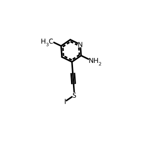 Cc1cnc(N)c(C#CSI)c1